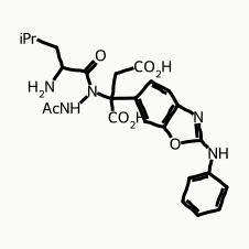 CC(=O)NN(C(=O)C(N)CC(C)C)C(CC(=O)O)(C(=O)O)c1ccc2nc(Nc3ccccc3)oc2c1